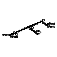 CCCCCC(CCCCC)CCOC(=O)CCCCCCCCCC(CCCCCCCCCC(=O)OCCC(CCCCC)CCCCC)OC(=O)CCCN(C)C(C)C